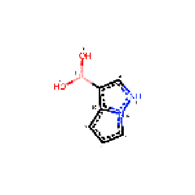 OB(O)c1c[nH]n2cccc12